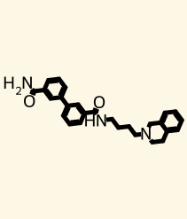 NC(=O)c1cccc(-c2cccc(C(=O)NCCCCN3CCc4ccccc4C3)c2)c1